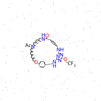 CC(=O)N1CCCCOc2ccc(cc2)CNc2nc(nc(OCC(F)(F)F)n2)Nc2ccc(cc2)C(=O)NCCC1